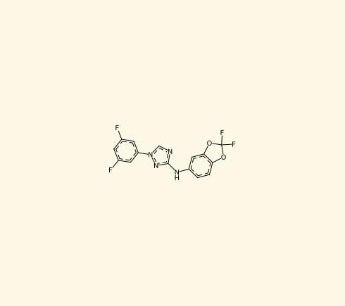 Fc1cc(F)cc(-n2cnc(Nc3ccc4c(c3)OC(F)(F)O4)n2)c1